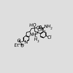 CCS(=O)(=O)c1cc2c(cn1)NC(CC(O)(CC(C)(C)c1ccc(Cl)cc1C(N)=O)C(F)(F)F)C2